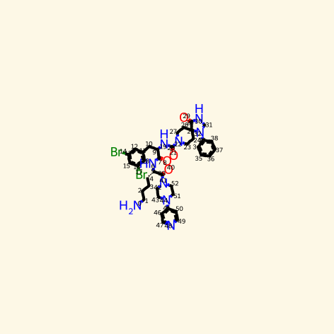 NCCCC[C@H](NC(=O)C(Cc1cc(Br)cc(Br)c1)NC(=O)N1CCC2(CC1)C(=O)NCN2c1ccccc1)C(=O)N1CCN(c2ccncc2)CC1